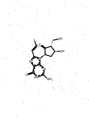 C=C1[C@H](n2c(C=CI)nc3c(=O)[nH]c(N)nc32)C[C@H](O)[C@H]1CO